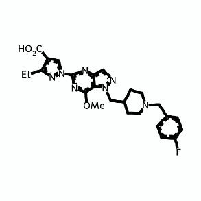 CCc1nn(-c2nc(OC)c3c(cnn3CC3CCN(Cc4ccc(F)cc4)CC3)n2)cc1C(=O)O